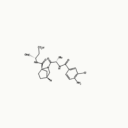 CC(C)(C)[C@H](NC(=O)c1ccc(N)c(Cl)c1)C(=O)N1C[C@@H]2CC[C@@]1(C(=O)N[C@H](C=O)CC(=O)O)C2